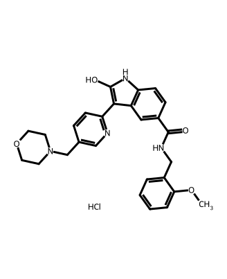 COc1ccccc1CNC(=O)c1ccc2[nH]c(O)c(-c3ccc(CN4CCOCC4)cn3)c2c1.Cl